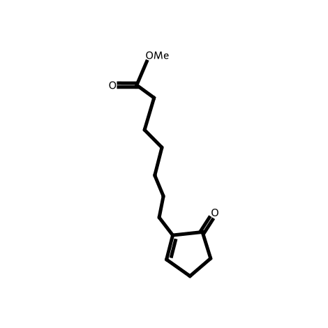 COC(=O)CCCCCCC1=CCCC1=O